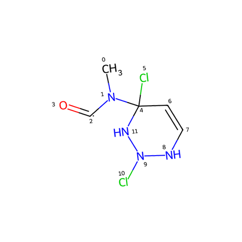 CN([C]=O)C1(Cl)C=CNN(Cl)N1